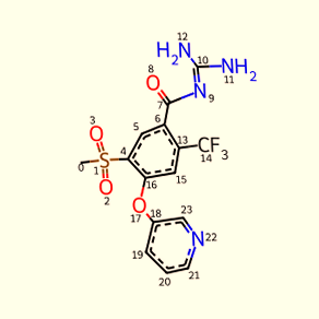 CS(=O)(=O)c1cc(C(=O)N=C(N)N)c(C(F)(F)F)cc1Oc1cccnc1